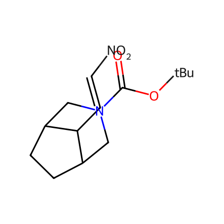 CC(C)(C)OC(=O)N1CC2CCC(C1)C2/C=C/[N+](=O)[O-]